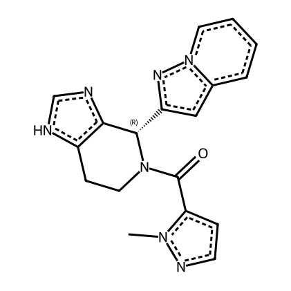 Cn1nccc1C(=O)N1CCc2[nH]cnc2[C@@H]1c1cc2ccccn2n1